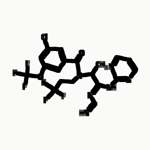 CC(/C(=N/C=N)Nc1ncccn1)N(CCC(F)(F)F)C(=O)c1cc(Cl)cc(OC(F)(F)F)c1